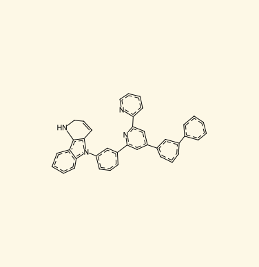 C1=Cc2c(c3ccccc3n2-c2cccc(-c3cc(-c4cccc(-c5ccccc5)c4)cc(-c4ccccn4)n3)c2)NC1